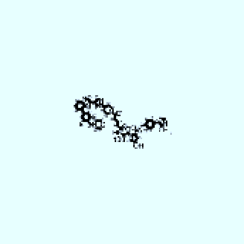 Cc1ncsc1-c1ccc(CNC(=O)[C@@H]2C[C@@H](O)CN2C(=O)C(NC(=O)CCCC(=O)N2CCC(n3cc(-c4cnc5cccc(-c6cc(F)c(CN7CCOCC7)c(F)c6)c5n4)cn3)CC2)C(C)(C)C)cc1